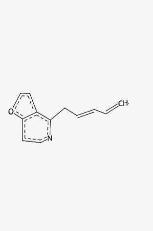 [CH]=CC=CCc1nccc2occc12